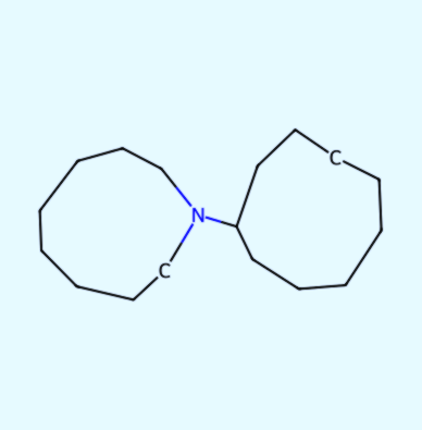 C1CCCCC(N2CCCCCCCC2)CCC1